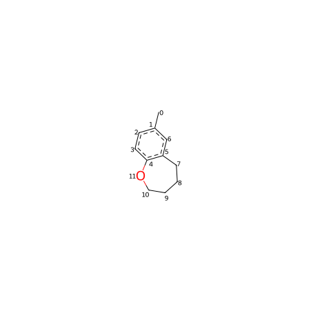 Cc1ccc2c(c1)CCCCO2